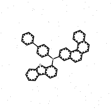 c1ccc(-c2ccc(N(c3ccc4c(ccc5ccc6ccccc6c54)c3)c3cccc4c3oc3ccccc34)cc2)cc1